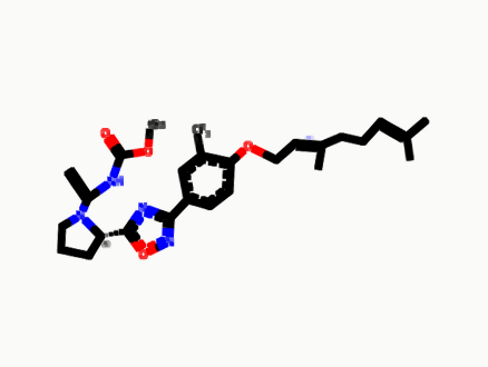 C=C(NC(=O)OC(C)(C)C)N1CCC[C@H]1c1nc(-c2ccc(OC/C=C(\C)CCC=C(C)C)c(C(F)(F)F)c2)no1